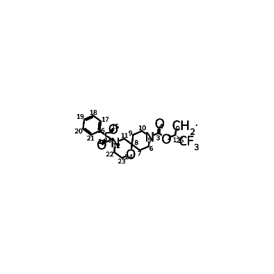 [CH2][C@@H](OC(=O)N1CCC2(CC1)CN(S(=O)(=O)c1ccccc1)CCO2)C(F)(F)F